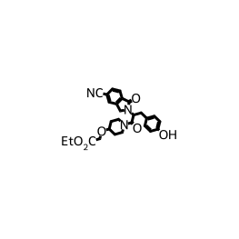 CCOC(=O)COC1CCN(C(=O)C(Cc2ccc(O)cc2)N2Cc3cc(C#N)ccc3C2=O)CC1